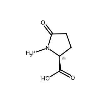 O=C(O)[C@@H]1CCC(=O)N1P